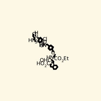 CCOC(=O)[C@H](COCc1ccc(CNS(=O)(=O)c2cc3c(cc2Cl)NC(CCl)NS3)cc1)N[C@H](C=O)CN1C2CCCCC2C[C@H]1C(=O)O